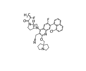 C=C(F)C(=O)N1CCC2[C@H]1CN2c1c(CC#N)c(OCC23CCCN2CCC3)nc2cc(-c3cccc4cccc(Cl)c34)c(F)cc12